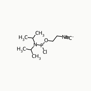 [C-]#[N+]CCOP(Cl)N(C(C)C)C(C)C